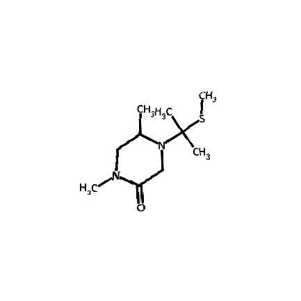 CSC(C)(C)N1CC(=O)N(C)CC1C